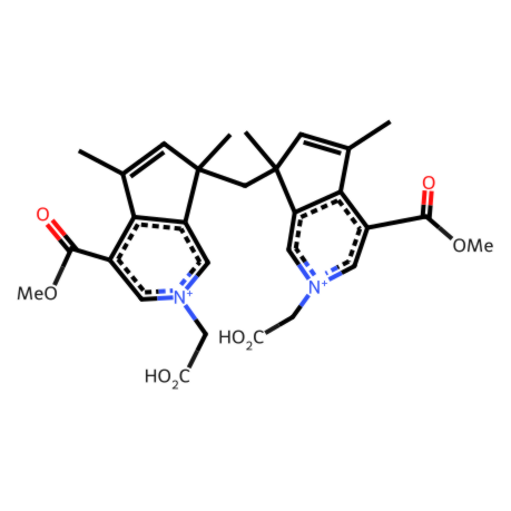 COC(=O)c1c[n+](CC(=O)O)cc2c1C(C)=CC2(C)CC1(C)C=C(C)c2c(C(=O)OC)c[n+](CC(=O)O)cc21